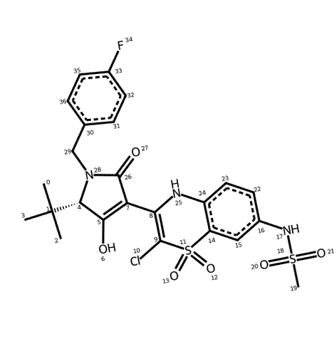 CC(C)(C)[C@H]1C(O)=C(C2=C(Cl)S(=O)(=O)c3cc(NS(C)(=O)=O)ccc3N2)C(=O)N1Cc1ccc(F)cc1